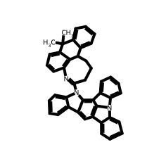 CC1(C)c2ccccc2C2CCC/C(n3c4ccccc4c4cc5c6ccccc6n6c7ccccc7c(c43)c56)=N\c3cccc1c32